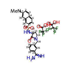 CNc1ccc2ccc(S(=O)(=O)N[C@H]3CCN(Cc4cccc(C(=N)N)c4)C3=O)cc2c1.O=C(O)C(F)(F)F.O=C(O)C(F)(F)F